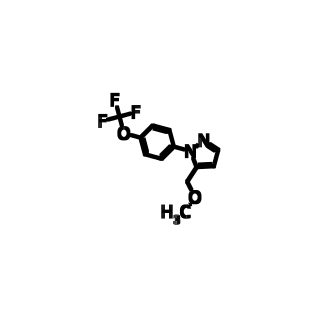 COCc1ccnn1-c1ccc(OC(F)(F)F)cc1